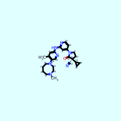 Cc1cc(Nc2cc(N3CC[C@@](C#N)(C4CC4)C3=O)ccn2)ncc1N1CCCCN(C)CC1